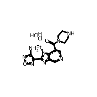 CCn1c(-c2nonc2N)nc2cncc(C(=O)N3CCNCC3)c21.Cl.Cl